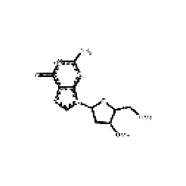 COCC1OC(n2cnc3c(=O)[nH]c(N)nc32)CC1OC